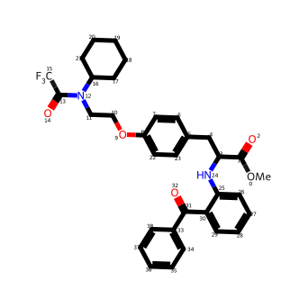 COC(=O)C(Cc1ccc(OCCN(C(=O)C(F)(F)F)C2CCCCC2)cc1)Nc1ccccc1C(=O)c1ccccc1